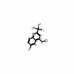 Fc1ccc2nc(C(F)(F)F)cc(CCl)c2c1